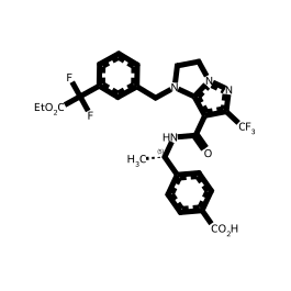 CCOC(=O)C(F)(F)c1cccc(CN2CCn3nc(C(F)(F)F)c(C(=O)N[C@@H](C)c4ccc(C(=O)O)cc4)c32)c1